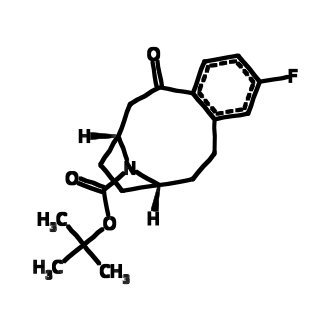 CC(C)(C)OC(=O)N1[C@@H]2CCc3cc(F)ccc3C(=O)C[C@H]1CC2